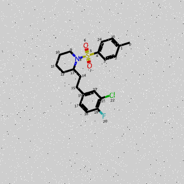 Cc1ccc(S(=O)(=O)N2CCCCC2CCc2ccc(F)c(Cl)c2)cc1